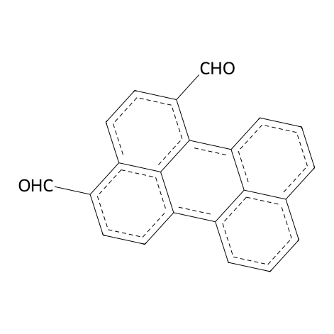 O=Cc1ccc2c3cccc4cccc(c5c(C=O)ccc1c25)c43